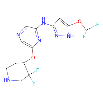 FC(F)Oc1cc(Nc2cncc(OC3CCNCC3(F)F)n2)n[nH]1